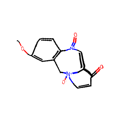 COc1ccc2c(c1)C[N+]1([O-])C=CC(=O)C1=C[N+]2=O